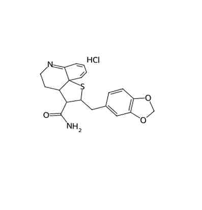 Cl.NC(=O)C1C(Cc2ccc3c(c2)OCO3)SC23C=CC=CC2=NCCC13